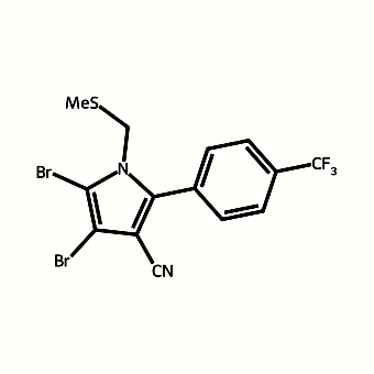 CSCn1c(Br)c(Br)c(C#N)c1-c1ccc(C(F)(F)F)cc1